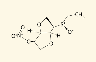 CC[S@@+]([O-])[C@@H]1CO[C@H]2[C@@H]1OC[C@H]2O[N+](=O)[O-]